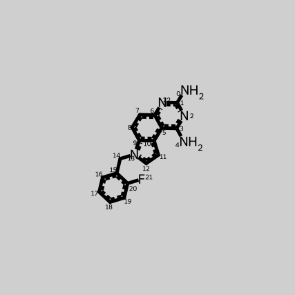 Nc1nc(N)c2c(ccc3c2ccn3Cc2ccccc2F)n1